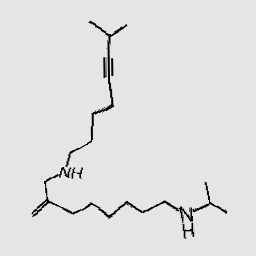 C=C(CCCCCCNC(C)C)CNCCCCC#CC(C)C